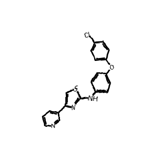 Clc1ccc(Oc2ccc(Nc3nc(-c4cccnc4)cs3)cc2)cc1